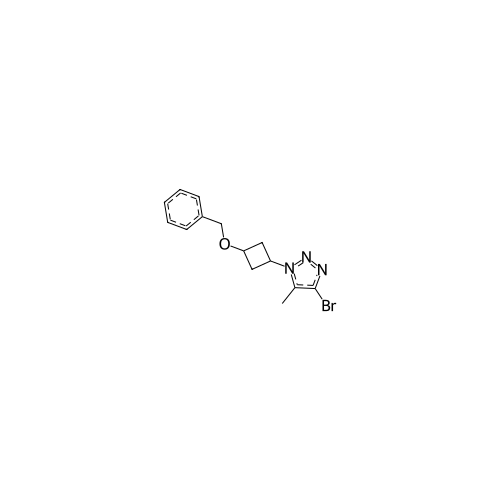 Cc1c(Br)nnn1C1CC(OCc2ccccc2)C1